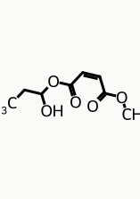 CCC(O)OC(=O)/C=C\C(=O)OC